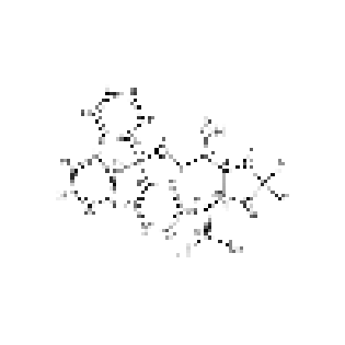 CC1(C)OC(C(O)COC(c2ccccc2)(c2ccccc2)c2ccccc2)[C@H](C=C(I)I)O1